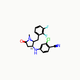 CN1C(=O)C[C@H](Nc2ccc(C#N)c(Cl)c2)C1Cc1cccc(F)c1F